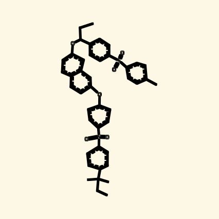 CCC(Oc1ccc2ccc(Oc3ccc(S(=O)(=O)c4ccc(C(C)(C)CC)cc4)cc3)cc2c1)c1ccc(S(=O)(=O)c2ccc(C)cc2)cc1